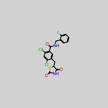 O=C1NC(=O)C(Cc2cc(C(=O)NCc3ccccc3F)c(Cl)cc2Cl)S1